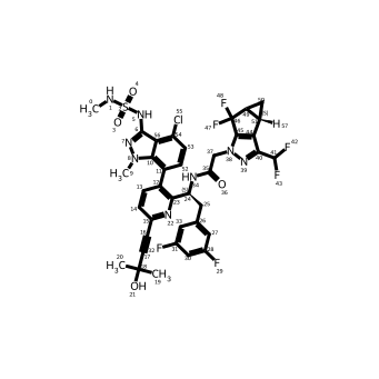 CNS(=O)(=O)Nc1nn(C)c2c(-c3ccc(C#CC(C)(C)O)nc3[C@H](Cc3cc(F)cc(F)c3)NC(=O)Cn3nc(C(F)F)c4c3C(F)(F)C3C[C@H]43)ccc(Cl)c12